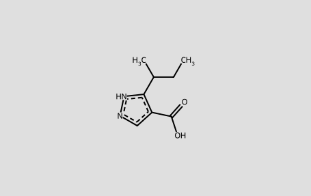 CCC(C)c1[nH]ncc1C(=O)O